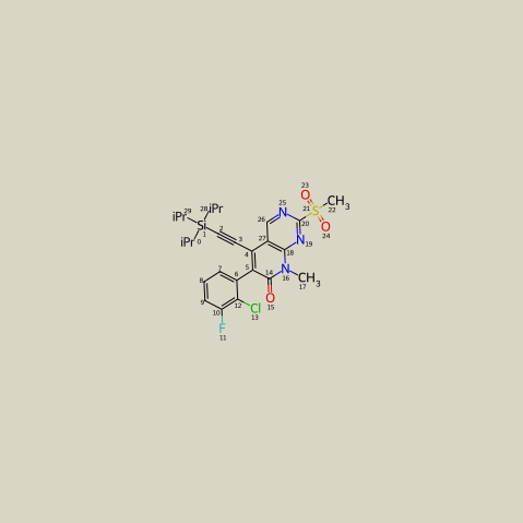 CC(C)[Si](C#Cc1c(-c2cccc(F)c2Cl)c(=O)n(C)c2nc(S(C)(=O)=O)ncc12)(C(C)C)C(C)C